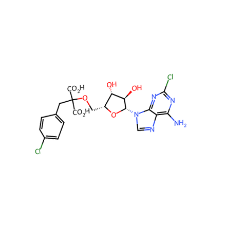 Nc1nc(Cl)nc2c1ncn2[C@@H]1O[C@H](COC(Cc2ccc(Cl)cc2)(C(=O)O)C(=O)O)[C@H](O)[C@H]1O